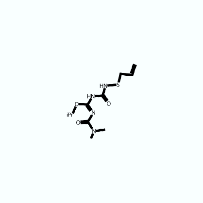 C=CCSNC(=O)NC(=NC(=O)N(C)C)OC(C)C